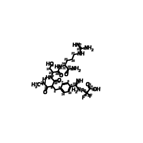 CNC(=O)C(Cc1ccc(C(=N)N)cc1)C(=O)NC(CO)C(=O)N[C@@H](CCCNC(=N)N)C(N)=O.O=C(O)C(F)(F)F